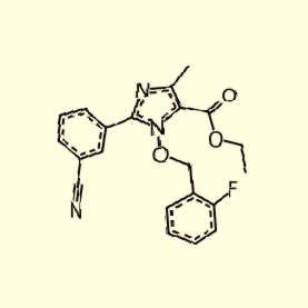 CCOC(=O)c1c(C)nc(-c2cccc(C#N)c2)n1OCc1ccccc1F